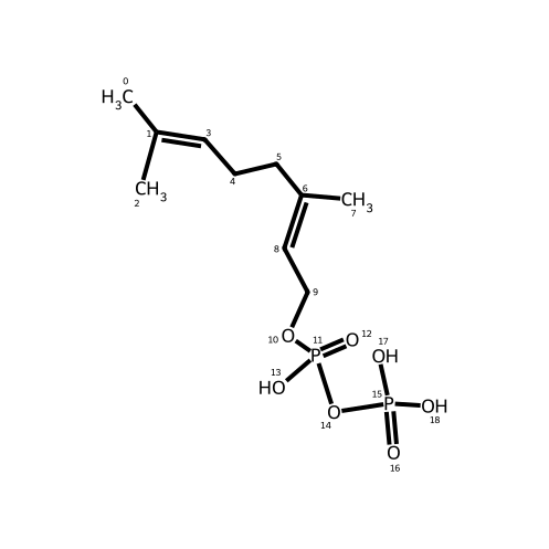 CC(C)=CCCC(C)=CCOP(=O)(O)OP(=O)(O)O